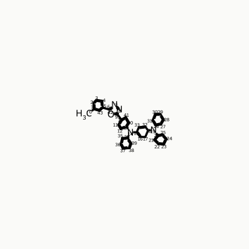 Cc1cccc(-c2nnc(-c3ccc(N(C4=CCC(N(c5ccccc5)c5ccccc5)C=C4)c4ccccc4)cc3)o2)c1